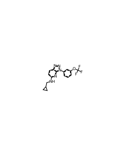 FC(F)(F)Oc1cccc(-n2nnc3ccc(NCC4CC4)nc32)c1